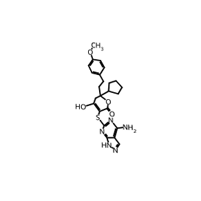 COc1ccc(CCC2(C3CCCC3)CC(O)=C(Sc3nc(N)c4cn[nH]c4n3)C(=O)O2)cc1